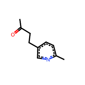 CC(=O)CCc1ccc(C)nc1